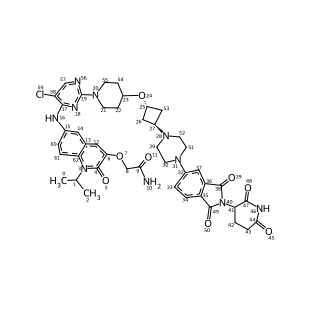 CC(C)n1c(=O)c(OCC(N)=O)cc2cc(Nc3nc(N4CCC(O[C@H]5C[C@H](N6CCN(c7ccc8c(c7)C(=O)N(C7CCC(=O)NC7=O)C8=O)CC6)C5)CC4)ncc3Cl)ccc21